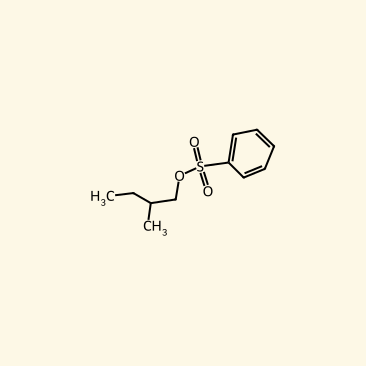 CCC(C)COS(=O)(=O)c1ccccc1